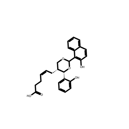 O=C(O)CC/C=C\C[C@@H]1COC(c2c(O)ccc3ccccc23)O[C@@H]1c1ccccc1O